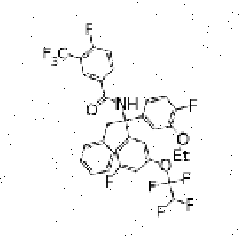 CCOc1cc(C(Cc2ccccc2)(NC(=O)c2ccc(F)c(C(F)(F)F)c2)c2cc(F)cc(OC(F)(F)C(F)F)c2)ccc1F